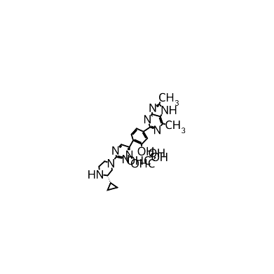 Cc1nc2nc(-c3ccc(-c4cnc(N5CCN[C@@H](C6CC6)C5)nn4)c(O)c3)nc(C)c2[nH]1.O=CO.O=CO